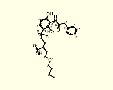 CCCCOCCC(CCC(C)(C)c1ccc(O)c(NC(=O)Cc2ccccc2)c1O)C(=O)O